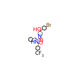 O=C(NC(=Cc1ccccc1)C(=O)N1CCC(O)(c2ccc(Br)cc2)CC1)c1ccc(C(F)(F)F)cc1